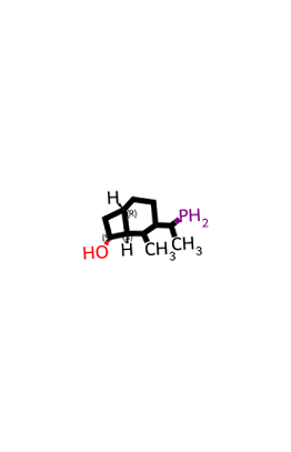 CC(P)C1CC[C@@H]2C[C@H](O)[C@@H]2C1C